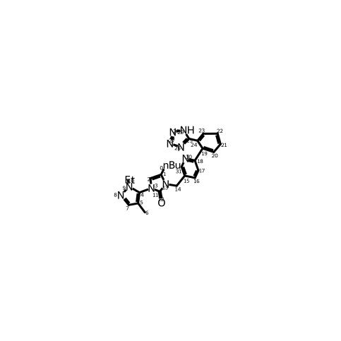 CCCCc1cn(-c2c(C)cnn2CC)c(=O)n1Cc1ccc(-c2ccccc2-c2nnn[nH]2)nc1